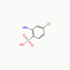 [NH]c1cc(Cl)ccc1S(=O)(=O)O